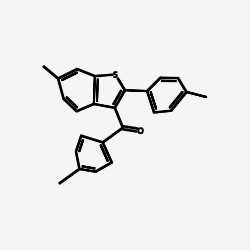 Cc1ccc(C(=O)c2c(-c3ccc(C)cc3)sc3cc(C)ccc23)cc1